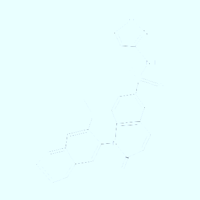 COc1cc2ccccc2cc1-n1c(=O)ccc2cc(S(=O)(=O)Nc3ccon3)ccc21